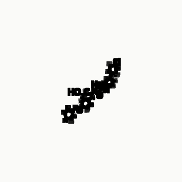 O=C(N[C@@H](Cc1ccc(OCc2ccccc2)cc1)C(=O)O)c1nc2ccc(-c3ccc(Cl)cc3)cc2[nH]1